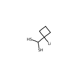 [Li][C]1(C(S)S)CCC1